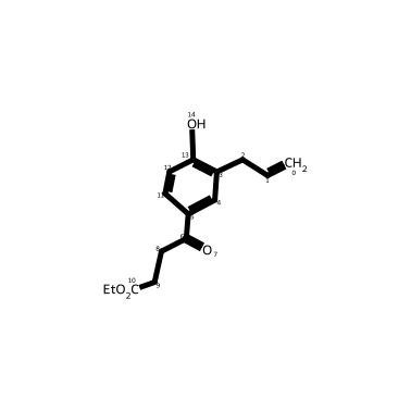 C=CCc1cc(C(=O)CCC(=O)OCC)ccc1O